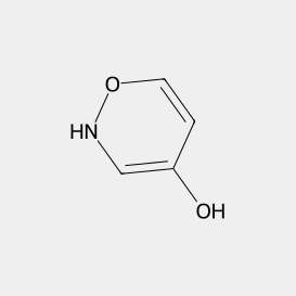 OC1=CNOC=C1